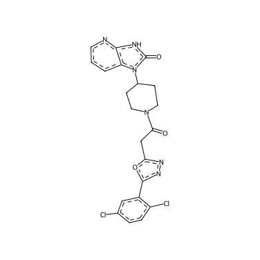 O=C(Cc1nnc(-c2cc(Cl)ccc2Cl)o1)N1CCC(n2c(=O)[nH]c3ncccc32)CC1